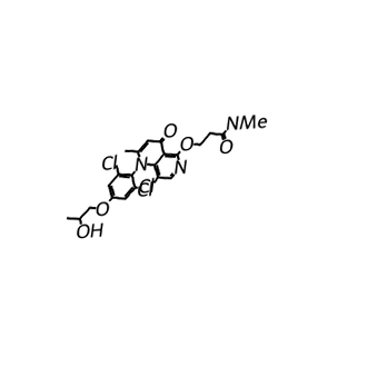 CNC(=O)CCOc1ncc(Cl)c2c1c(=O)cc(C)n2-c1c(Cl)cc(OCC(C)O)cc1Cl